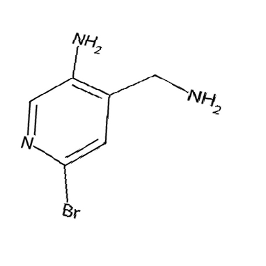 NCc1cc(Br)ncc1N